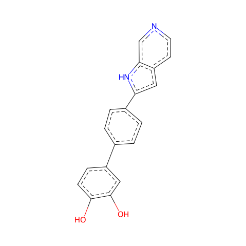 Oc1ccc(-c2ccc(-c3cc4ccncc4[nH]3)cc2)cc1O